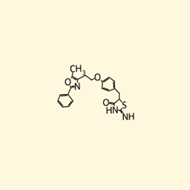 Cc1oc(-c2ccccc2)nc1CCOc1ccc(CC2SC(=N)NC2=O)cc1